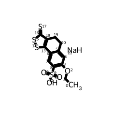 CCOc1cc2c(cc1S(=O)(=O)O)-c1ssc(=S)c1CC2.[NaH]